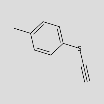 C#CSc1ccc(C)cc1